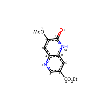 CCOC(=O)c1cnc2cc(OC)c(=O)[nH]c2c1